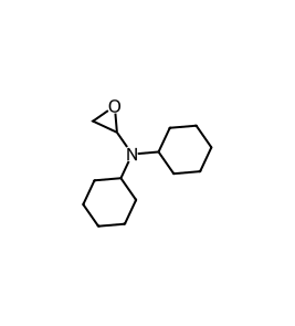 C1CCC(N(C2CCCCC2)C2CO2)CC1